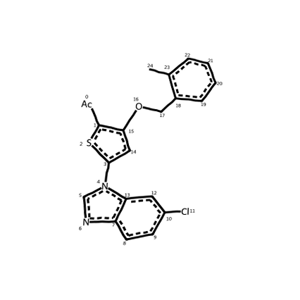 CC(=O)c1sc(-n2cnc3ccc(Cl)cc32)cc1OCc1ccccc1C